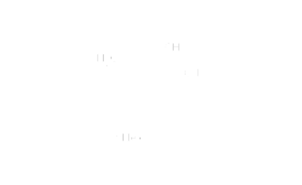 C=CC[C](C)C(C)CCCCCCCCCC